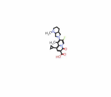 Cc1c(N2CC3CCCN(C)C3C2)c(F)cn2c(=O)c(C(=O)O)cc(C3CC3)c12